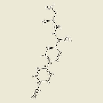 CCC(=O)NCC(C)c1ccc(-c2ccc(C#N)cc2)cc1